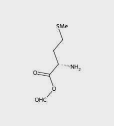 CSCC[C@H](N)C(=O)OC=O